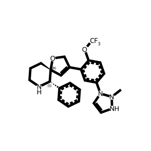 CN1NC=CN1c1ccc(OC(F)(F)F)c(C2=C[C@@]3(CCCN[C@H]3c3ccccc3)OC2)c1